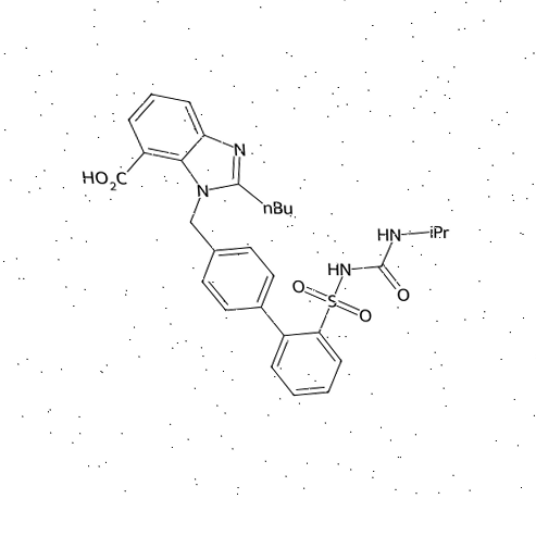 CCCCc1nc2cccc(C(=O)O)c2n1Cc1ccc(-c2ccccc2S(=O)(=O)NC(=O)NC(C)C)cc1